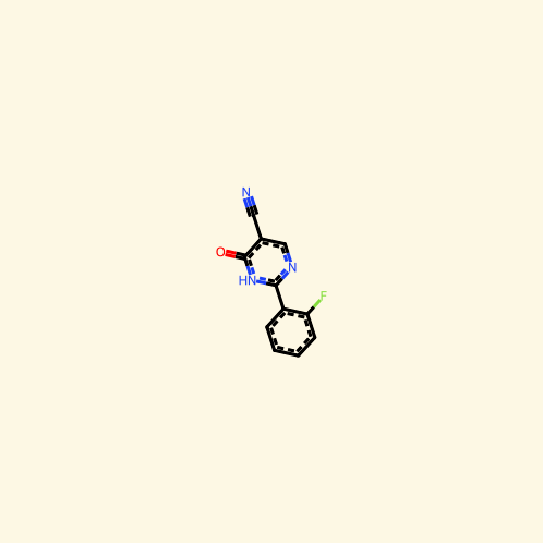 N#Cc1cnc(-c2ccccc2F)[nH]c1=O